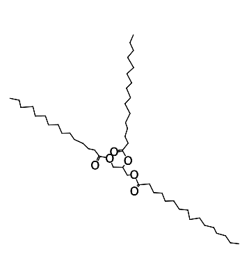 CCCCCCCCCCCCCCCC(=O)OCC(COC(=O)CCCCCCCCCCCCCC)OC(=O)CCCCCCCCCCCCCCC